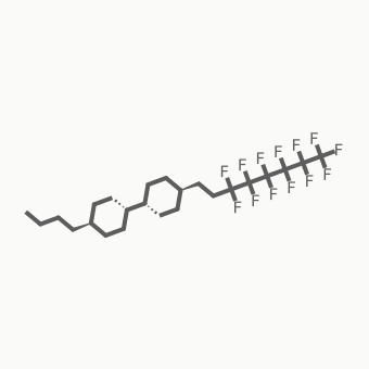 CCCC[C@H]1CC[C@H]([C@H]2CC[C@H](CCC(F)(F)C(F)(F)C(F)(F)C(F)(F)C(F)(F)C(F)(F)F)CC2)CC1